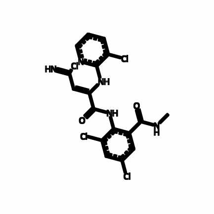 CNC(=O)c1cc(Cl)cc(Cl)c1NC(=O)/C(=C/C(=N)Cl)Nc1ncccc1Cl